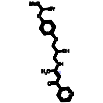 CCCC(OC)Oc1ccc(OCC(O)CN/C(C)=C/C(=O)c2cccnc2)cc1